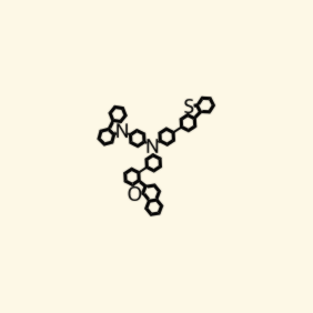 c1cc(-c2cccc3oc4c5ccccc5ccc4c23)cc(N(c2ccc(-c3ccc4c(c3)sc3ccccc34)cc2)c2ccc(-n3c4ccccc4c4ccccc43)cc2)c1